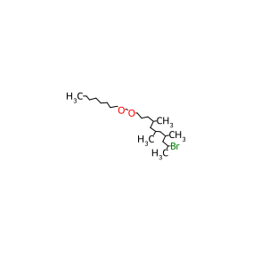 CCCCCCCCOCOCCCC(C)CC(C)CC(C)CC(C)Br